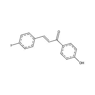 O=C(/C=C/c1ccc(I)cc1)c1ccc(O)cc1